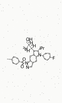 [2H]C([2H])(CO)C([2H])([2H])c1c(C(C)C)n(-c2ccc(F)cc2)c2cc3cnn(S(=O)(=O)c4ccc(C)cc4)c3cc12